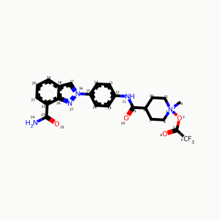 C[N+]1(OC(=O)C(F)(F)F)CCC(C(=O)Nc2ccc(-n3cc4cccc(C(N)=O)c4n3)cc2)CC1